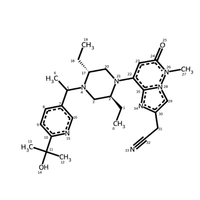 CC[C@H]1CN(C(C)c2ccc(C(C)(C)O)nc2)[C@H](CC)CN1c1cc(=O)n(C)n2cc(CC#N)nc12